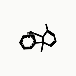 CCCCC1C(C)=CC=CC1(C)c1ccccc1